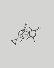 Cc1cc(O)c2c3c1C[C@H]1N(C4CC4)CC[C@@]34[C@H](CCC[C@@]14O)O2